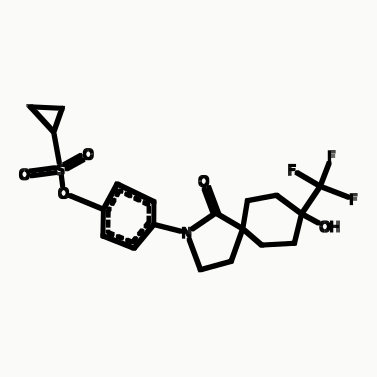 O=C1N(c2ccc(OS(=O)(=O)C3CC3)cc2)CCC12CCC(O)(C(F)(F)F)CC2